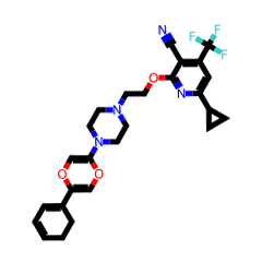 N#Cc1c(C(F)(F)F)cc(C2CC2)nc1OCCN1CCN(C2=COC(C3=CC=CCC3)=CO2)CC1